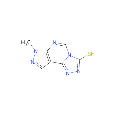 Cn1ncc2c1ncn1c(S)nnc21